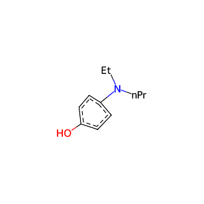 CCCN(CC)c1ccc(O)cc1